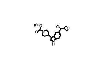 CC(C)(C)OC(=O)N1CCC(c2c[nH]c3ccc([C@@H](Cl)C4COC4)cc23)CC1